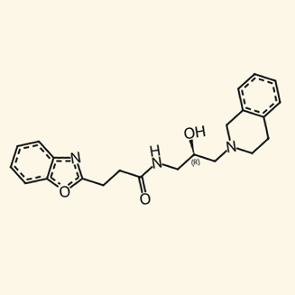 O=C(CCc1nc2ccccc2o1)NC[C@@H](O)CN1CCc2ccccc2C1